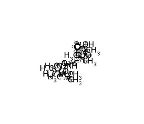 CC[C@H](C)[C@@H]([C@@H](CC(=O)NCCCC[C@H](OC)[C@@H](C)C(=O)N[C@H](C)[C@@H](O)c1ccccc1)OC)N(C)C(=O)CC(C)C